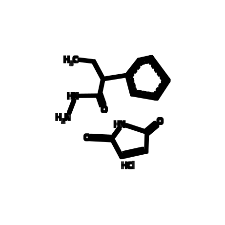 CCC(C(=O)NN)c1ccccc1.Cl.O=C1C=CC(=O)N1